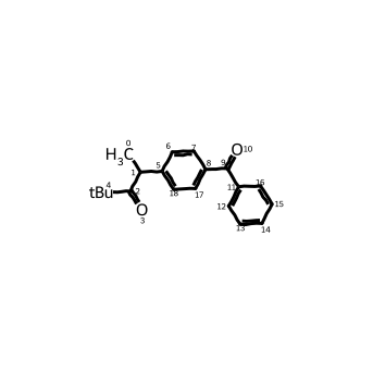 CC(C(=O)C(C)(C)C)c1ccc(C(=O)c2ccccc2)cc1